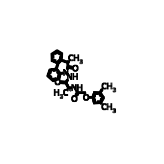 Cc1cc(C)cc(OCC(=O)N[C@@H](C)C(=O)NN2C(=O)C(C)c3ccccc3-c3ccccc32)c1